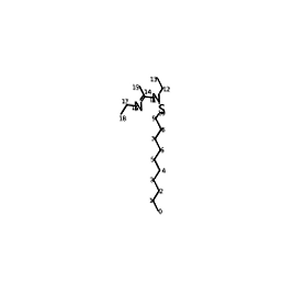 CCCCCCCCCCSN(CC)C(C)=NCC